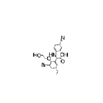 CCc1cc(Br)c(OCCO)c(C(Nc2ccc(C#N)cc2)C(=O)O)c1